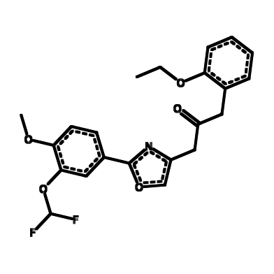 CCOc1ccccc1CC(=O)Cc1coc(-c2ccc(OC)c(OC(F)F)c2)n1